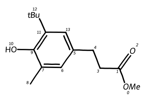 COC(=O)CCc1cc(C)c(O)c(C(C)(C)C)c1